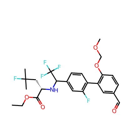 CCOC(=O)[C@H](CC(C)(C)F)NC(c1ccc(-c2cc(C=O)ccc2OCOC)c(F)c1)C(F)(F)F